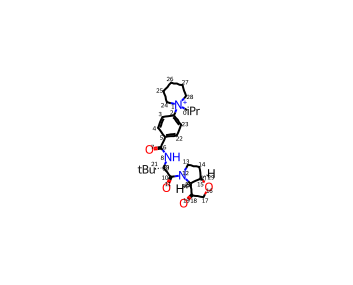 CC(C)[N+]1(c2ccc(C(=O)N[C@H](C(=O)N3CC[C@H]4OCC(=O)[C@H]43)C(C)(C)C)cc2)CCCCC1